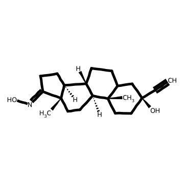 C#C[C@]1(O)CC[C@@]2(C)C(CC[C@@H]3[C@@H]2CC[C@]2(C)C(=NO)CC[C@@H]32)C1